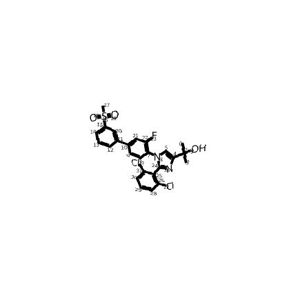 CC(C)(O)c1cn(-c2ccc(-c3cccc(S(C)(=O)=O)c3)cc2F)c(-c2c(Cl)cccc2Cl)n1